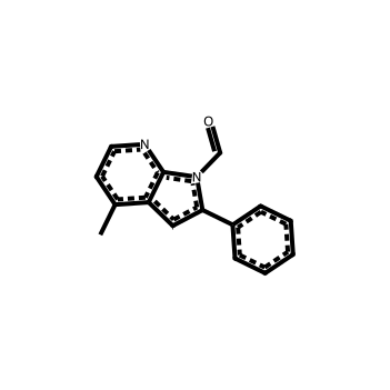 Cc1ccnc2c1[c]c(-c1ccccc1)n2C=O